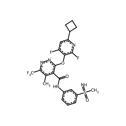 Cc1c(C(F)(F)F)nnc(Oc2c(F)cc(C3CCC3)nc2F)c1C(=O)Nc1cccc(S(C)(=N)=O)c1